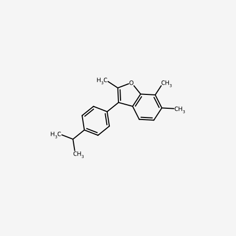 Cc1ccc2c(-c3ccc(C(C)C)cc3)c(C)oc2c1C